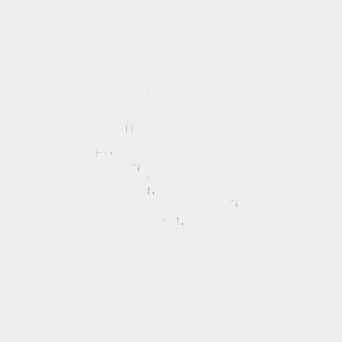 CN(C[C@H]1CCCCN1C(=O)CC#N)C(=O)N[C@@H](Cc1ccccc1)B(O)O